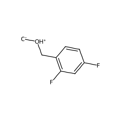 [CH2-][OH+]Cc1ccc(F)cc1F